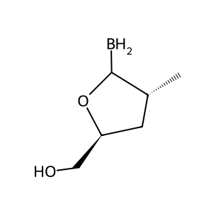 BC1O[C@H](CO)C[C@H]1C